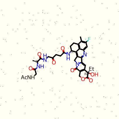 CC[C@@]1(O)C(=O)OCc2c1cc1n(c2=O)Cc2c-1nc1cc(F)c(C)c3c1c2[C@@H](NC(=O)CCC(=O)CNC(=O)[C@H](C)NC(=O)CNC(C)=O)CC3